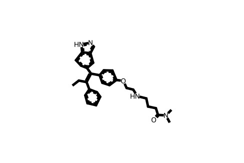 CC/C(=C(/c1ccc(OCCNCCCC(=O)N(C)C)cc1)c1ccc2[nH]ncc2c1)c1ccccc1